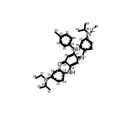 CCN(c1ccc(/N=C2/C=C(Nc3ccc(N(CC)C(C)C)cc3)C(=O)C=C2Nc2ccc(C)cc2)cc1)C(C)C